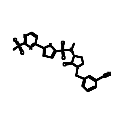 CN([C@H]1CCN(Cc2cccc(C#N)c2)C1=O)S(=O)(=O)c1ccc(-c2ccnc(S(C)(=O)=O)n2)s1